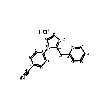 Cl.N#Cc1ccc(-n2ccnc2Cc2ccccn2)cc1